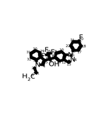 C=CCn1cc(C(O)(c2ccc3c(cnn3-c3ccc(F)cc3)c2)C(F)(F)F)c2ccccc21